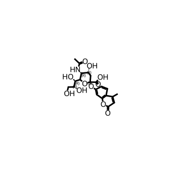 CC(=O)N[C@H]1C([C@H](O)[C@H](O)CO)O[C@@](Oc2ccc3c(C)cc(=O)oc3c2)(C(=O)O)C[C@H]1O